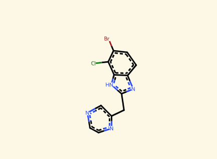 Clc1c(Br)ccc2nc(Cc3cnccn3)[nH]c12